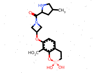 CC1CNC(C(=O)N2CC(Oc3ccc4c(c3C(=O)O)O[B-](O)(O)CC4)C2)C1